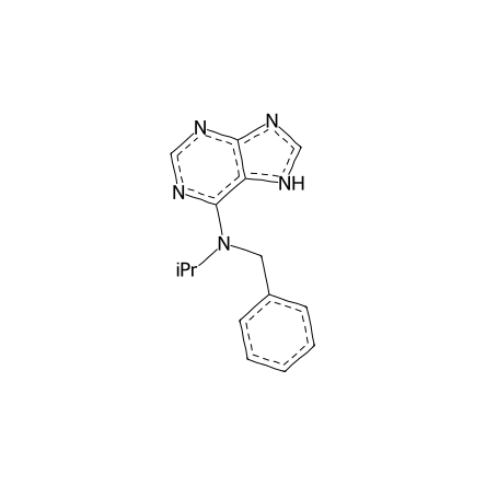 CC(C)N(Cc1ccccc1)c1ncnc2nc[nH]c12